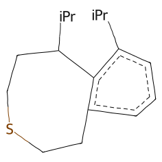 CC(C)c1cccc2c1C(C(C)C)CCSCC2